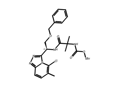 Cc1ccc2nnc([C@@H](COCc3ccccc3)NC(=O)C(C)(C)NC(=O)OC(C)(C)C)n2c1Cl